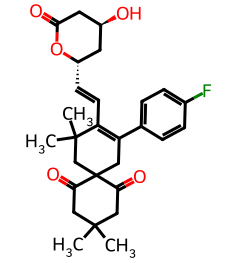 CC1(C)CC(=O)C2(CC(c3ccc(F)cc3)=C(C=C[C@H]3C[C@H](O)CC(=O)O3)C(C)(C)C2)C(=O)C1